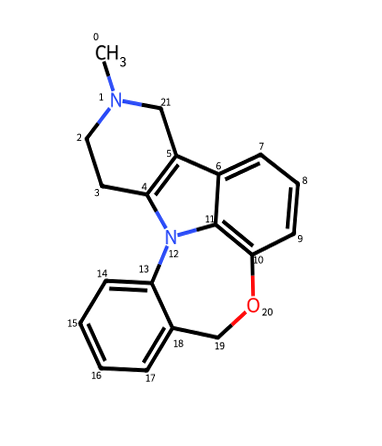 CN1CCc2c(c3cccc4c3n2-c2ccccc2CO4)C1